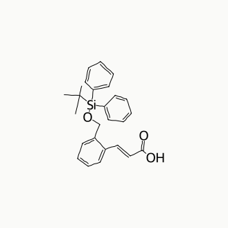 CC(C)(C)[Si](OCc1ccccc1/C=C/C(=O)O)(c1ccccc1)c1ccccc1